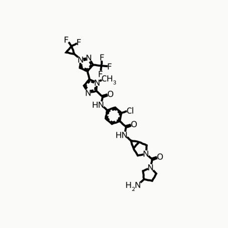 Cn1c(-c2cn(C3CC3(F)F)nc2C(F)(F)F)cnc1C(=O)Nc1ccc(C(=O)NC2C3CN(C(=O)N4CCC(N)C4)CC32)c(Cl)c1